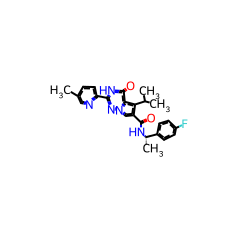 Cc1ccc(-c2nn3cc(C(=O)N[C@@H](C)c4ccc(F)cc4)c(C(C)C)c3c(=O)[nH]2)nc1